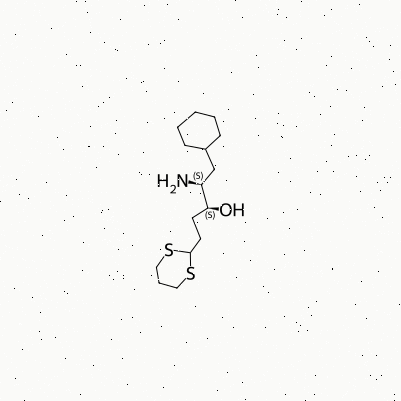 N[C@@H](CC1CCCCC1)[C@@H](O)CCC1SCCCS1